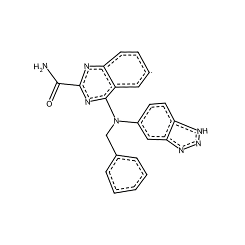 NC(=O)c1nc(N(Cc2ccccc2)c2ccc3[nH]nnc3c2)c2c[c]ccc2n1